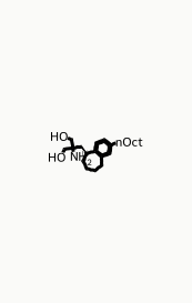 CCCCCCCCc1ccc2c(c1)CCCC[C@H]2CC(N)(CO)CO